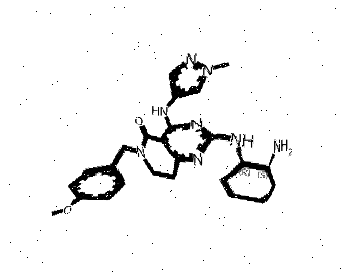 COc1ccc(CN2CCc3nc(N[C@@H]4CCCC[C@@H]4N)nc(Nc4cnn(C)c4)c3C2=O)cc1